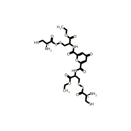 CCOC(=O)C(CSSC(=O)[C@@H](N)CS)NC(=O)c1cc(=O)cc(C(=O)NC(CSSC(=O)[C@@H](N)CS)C(=O)OCC)o1